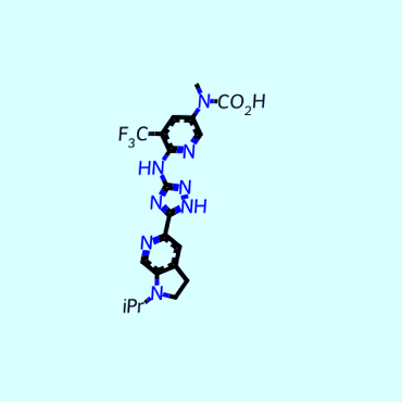 CC(C)N1CCc2cc(-c3nc(Nc4ncc(N(C)C(=O)O)cc4C(F)(F)F)n[nH]3)ncc21